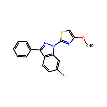 O=COc1csc(-n2nc(-c3ccccc3)c3ccc(Br)cc32)n1